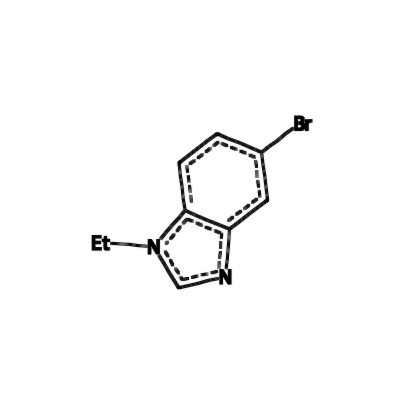 CCn1cnc2cc(Br)ccc21